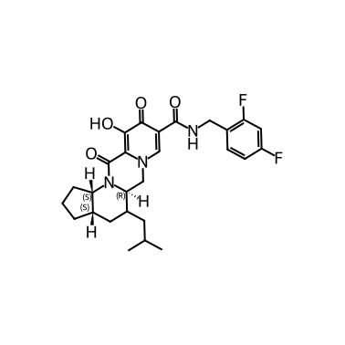 CC(C)CC1C[C@@H]2CCC[C@@H]2N2C(=O)c3c(O)c(=O)c(C(=O)NCc4ccc(F)cc4F)cn3C[C@@H]12